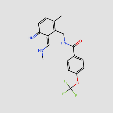 CN/C=C1\C(=N)C=CC(C)=C1CNC(=O)c1ccc(OC(F)(F)F)cc1